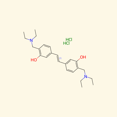 CCN(CC)Cc1ccc(/C=C/c2ccc(CN(CC)CC)c(O)c2)cc1O.Cl.Cl